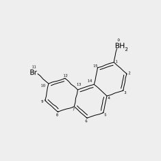 Bc1ccc2ccc3ccc(Br)cc3c2c1